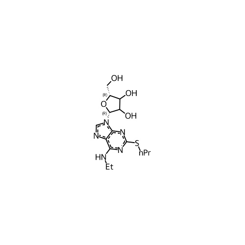 CCCSc1nc(NCC)c2ncn([C@@H]3O[C@H](CO)C(O)C3O)c2n1